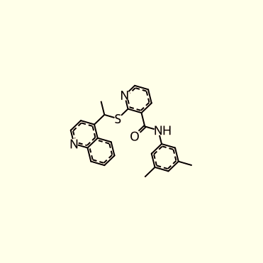 Cc1cc(C)cc(NC(=O)c2cccnc2SC(C)c2ccnc3ccccc23)c1